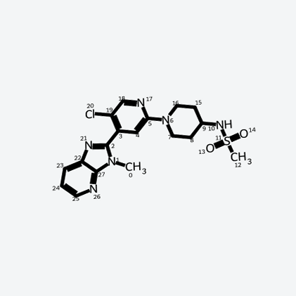 Cn1c(-c2cc(N3CCC(NS(C)(=O)=O)CC3)ncc2Cl)nc2cccnc21